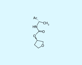 CC(=O)[C@H](C)NC(=O)O[C@@H]1CCOC1